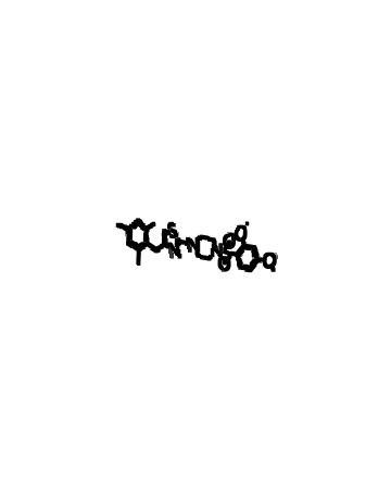 COc1ccc(S(=O)(=O)N2CCN(c3nc(Cc4c(C)cc(C)cc4C)cs3)CC2)c(OC)c1